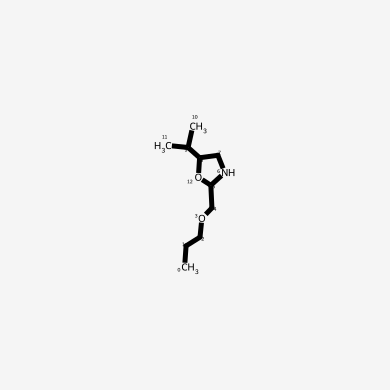 CCCOCC1NCC(C(C)C)O1